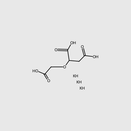 O=C(O)COC(CC(=O)O)C(=O)O.[KH].[KH].[KH]